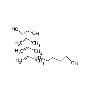 C=CC.C=CC.C=CC.OCCCCO.OCCO